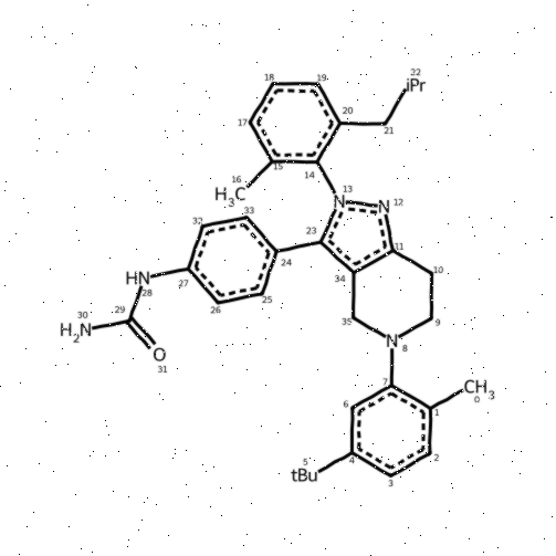 Cc1ccc(C(C)(C)C)cc1N1CCc2nn(-c3c(C)cccc3CC(C)C)c(-c3ccc(NC(N)=O)cc3)c2C1